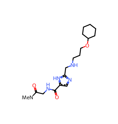 CNC(=O)CNC(=O)c1cnc(CNCCCOC2CCCCC2)[nH]1